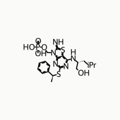 CC(C)C[C@H](CO)Nc1nc(S[C@@H](C)c2ccccc2)nc2c1sc(=N)n2COP(=O)(O)O